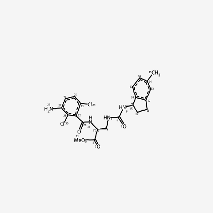 COC(=O)[C@H](CNC(=O)N[C@@H]1CCc2cc(C)ccc21)NC(=O)c1c(Cl)ccc(N)c1Cl